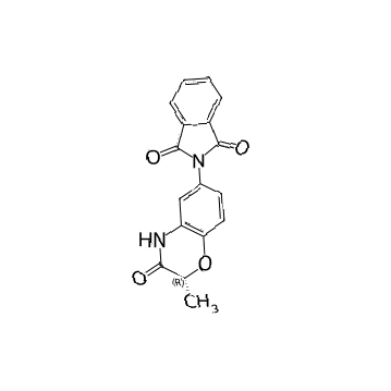 C[C@H]1Oc2ccc(N3C(=O)c4ccccc4C3=O)cc2NC1=O